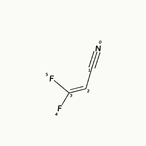 N#CC=C(F)F